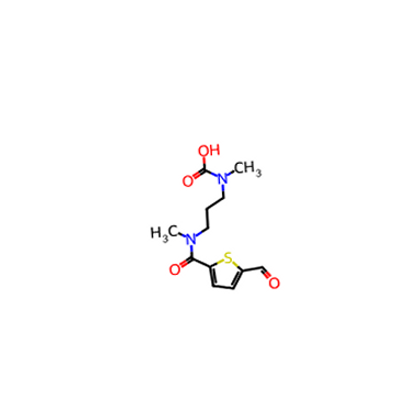 CN(CCCN(C)C(=O)c1ccc(C=O)s1)C(=O)O